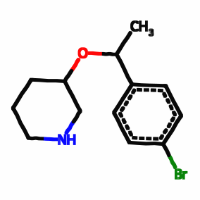 CC(OC1CCCNC1)c1ccc(Br)cc1